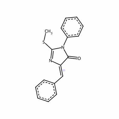 CSC1=N/C(=C\c2ccccc2)C(=O)N1c1ccccc1